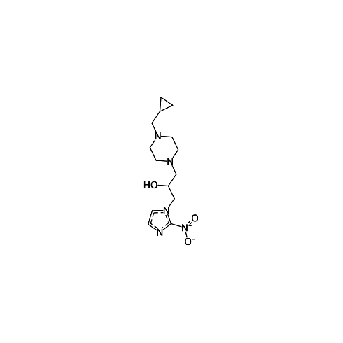 O=[N+]([O-])c1nccn1CC(O)CN1CCN(CC2CC2)CC1